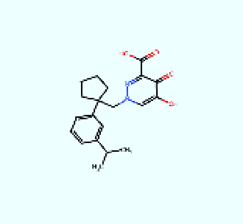 CC(C)c1cccc(C2(Cn3cc(O)c(=O)c(C(=O)O)n3)CCCC2)c1